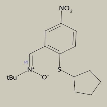 CC(C)(C)/[N+]([O-])=C/c1cc([N+](=O)[O-])ccc1SC1CCCC1